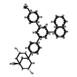 C[C@@H]1C[C@@H]2C[C@H](C)CC(c3ccc(-c4cc(-c5cccc6ccccc56)nc(-c5ccc(C#N)cc5)n4)cc3)(C1)C2